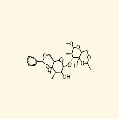 CO[C@H]1OC2COC(C)O[C@@H]2[C@H](O[C@@H]2OC3COC(c4ccccc4)O[C@@H]3[C@H](C)C2O)C1C